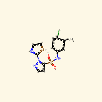 Cc1cc(NS(=O)(=O)c2ccnn2-c2nccs2)ccc1F